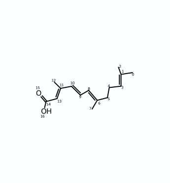 CC(C)=CCCC(C)=CC=CC(C)=CC(=O)O